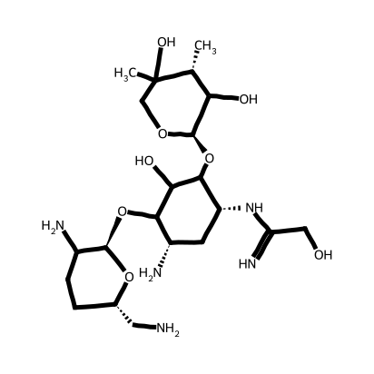 C[C@@H]1C(O)[C@@H](OC2C(O)C(O[C@H]3O[C@H](CN)CCC3N)[C@@H](N)C[C@H]2NC(=N)CO)OCC1(C)O